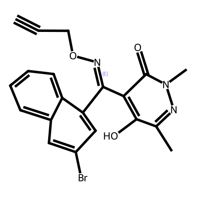 C#CCO/N=C(/c1c(O)c(C)nn(C)c1=O)c1cc(Br)cc2ccccc12